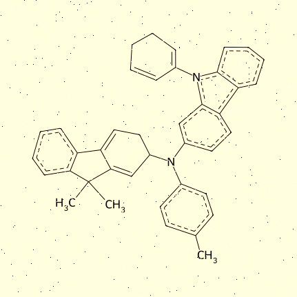 Cc1ccc(N(c2ccc3c4ccccc4n(C4=CCCC=C4)c3c2)C2C=C3C(=CC2)c2ccccc2C3(C)C)cc1